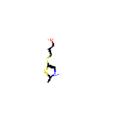 CC1NC=C(SCCCO)S1